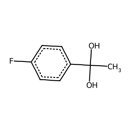 CC(O)(O)c1ccc(F)cc1